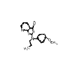 CCCN(c1ccc(OC)cc1)c1nc(=O)c2cccnc2s1